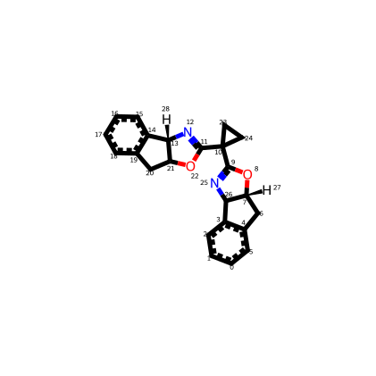 c1ccc2c(c1)C[C@H]1OC(C3(C4=N[C@H]5c6ccccc6CC5O4)CC3)=NC21